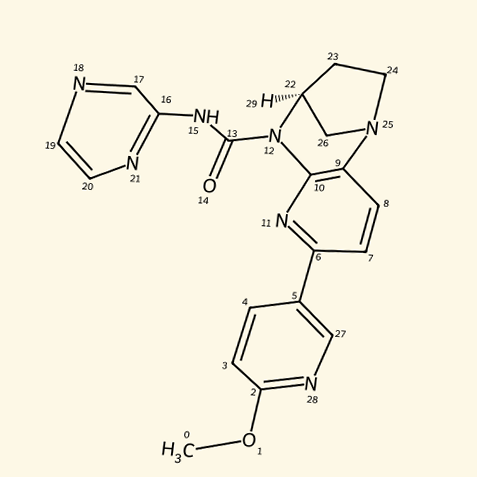 COc1ccc(-c2ccc3c(n2)N(C(=O)Nc2cnccn2)[C@H]2CCN3C2)cn1